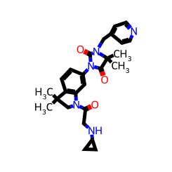 CC1(C)CN(C(=O)CNC2CC2)c2cc(N3C(=O)N(Cc4ccncc4)C(C)(C)C3=O)ccc21